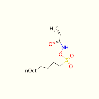 C=CC(=O)NOS(=O)(=O)CCCCCCCCCCCC